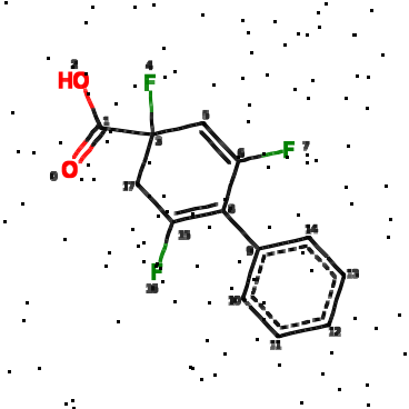 O=C(O)C1(F)C=C(F)C(c2ccccc2)=C(F)C1